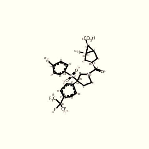 O=C(O)[C@H]1C2C[C@@H](C(=O)N3CC[C@](c4ccc(C(F)(C(F)(F)F)C(F)(F)F)cc4)(S(=O)(=O)c4ccc(F)cc4)C3)C[C@@H]21